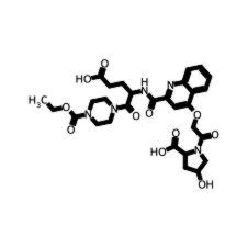 CCOC(=O)N1CCN(C(=O)C(CCC(=O)O)NC(=O)c2cc(OCC(=O)N3CC(O)CC3C(=O)O)c3ccccc3n2)CC1